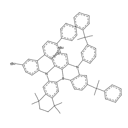 CC(C)(C)c1ccc(N2c3cc4c(cc3B3c5ccc(C(C)(C)c6ccccc6)cc5N(c5cccc(C(C)(C)c6ccccc6)c5)c5cc(C(C)(C)C)cc2c53)C(C)(C)CCC4(C)C)c(-c2ccc(-c3ccccc3)cc2)c1